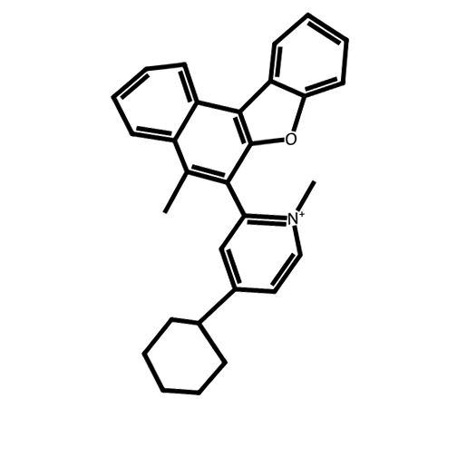 Cc1c(-c2cc(C3CCCCC3)cc[n+]2C)c2oc3ccccc3c2c2ccccc12